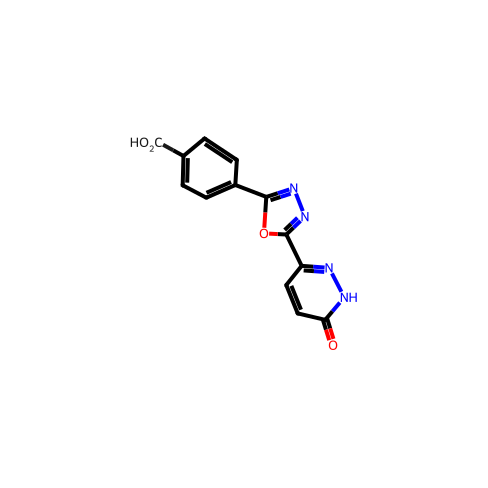 O=C(O)c1ccc(-c2nnc(-c3ccc(=O)[nH]n3)o2)cc1